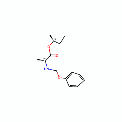 CC[C@H](C)OC(=O)[C@H](C)NCOc1ccccc1